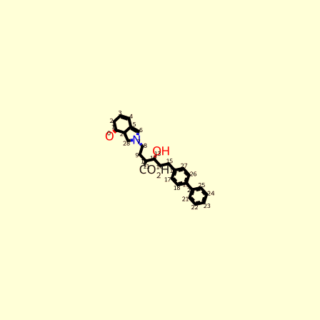 O=C1CC=CC2=CN(CCC(C(=O)O)C(O)CCc3ccc(-c4ccccc4)cc3)CC12